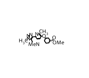 CNCc1c(-c2ccc(O[C@H]3CCC[C@H](C(=O)OC)C3)c(C)n2)nnn1C